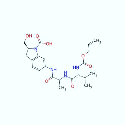 C=CCOC(=O)NC(C(=O)NC(C)C(=O)Nc1ccc2c(c1)N(C(=O)O)[C@H](CO)C2)C(C)C